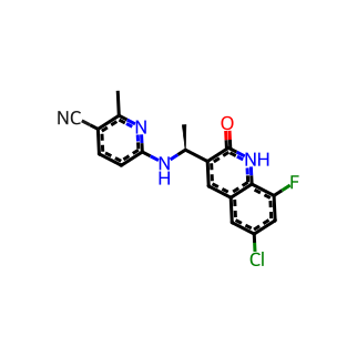 Cc1nc(N[C@@H](C)c2cc3cc(Cl)cc(F)c3[nH]c2=O)ccc1C#N